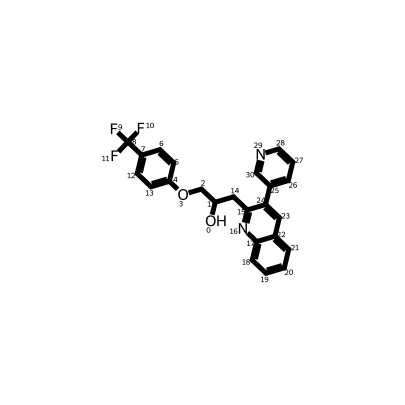 OC(COc1ccc(C(F)(F)F)cc1)Cc1nc2ccccc2cc1-c1cccnc1